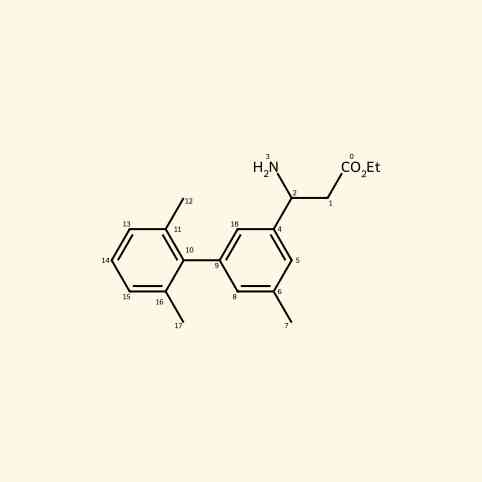 CCOC(=O)CC(N)c1cc(C)cc(-c2c(C)cccc2C)c1